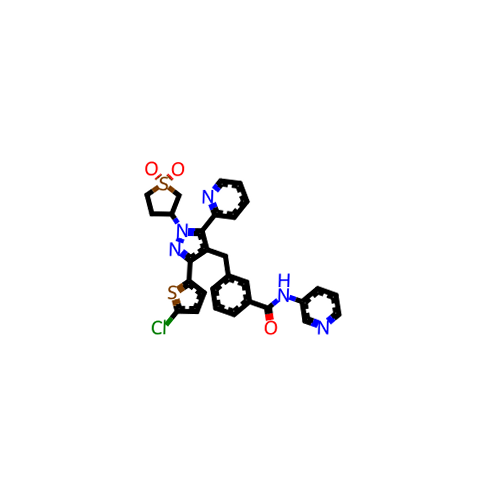 O=C(Nc1cccnc1)c1cccc(Cc2c(-c3ccc(Cl)s3)nn(C3CCS(=O)(=O)C3)c2-c2ccccn2)c1